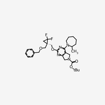 CC1CCCCCN1c1nc(OC[C@]2(COCc3ccccc3)CC2(F)F)nc2c1CN(C(=O)OC(C)(C)C)C2